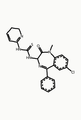 CN1C(=O)C(NC(=S)NC2=NCCC=C2)N=C(c2ccccc2)c2cc(Cl)ccc21